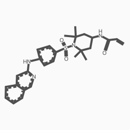 C=CC(=O)NC1CC(C)(C)N(S(=O)(=O)c2ccc(Nc3cc4ccccc4cn3)cc2)C(C)(C)C1